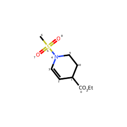 CCOC(=O)C1C=CN(S(C)(=O)=O)CC1